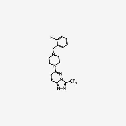 Fc1ccccc1CN1CCN(c2ccc3nnc(C(F)(F)F)n3n2)CC1